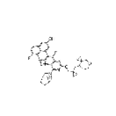 C#Cc1c(F)ccc2cc(O)cc(-c3c(F)cc4c(N5CC6CCC(C5)N6)nc(OCC5(CN6CCOCC67CC7)CC5)nc4c3F)c12